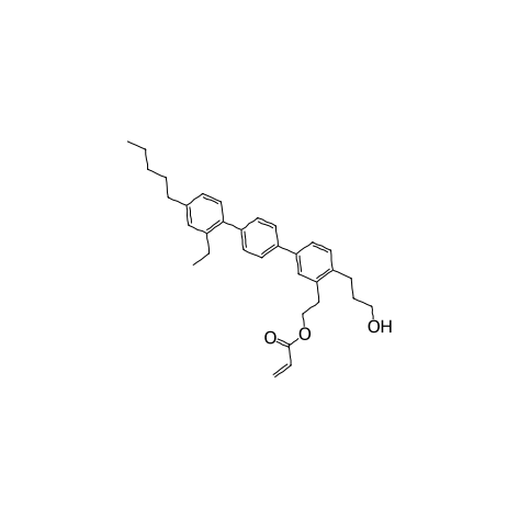 C=CC(=O)OCCc1cc(-c2ccc(-c3ccc(CCCCC)cc3CC)cc2)ccc1CCCO